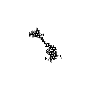 COc1cccc(Nc2c(C(N)=O)cnc3c(C)cc(S(=O)(=O)c4cccc(C(=O)Nc5ccc(CCCCCNC[C@H](O)c6ccc(OC(=O)C(F)(F)F)c7[nH]c(=O)ccc67)cc5)c4)cc23)c1